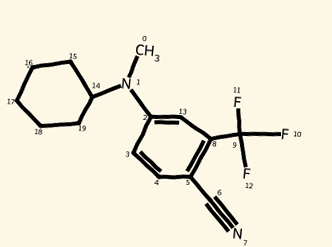 CN(c1ccc(C#N)c(C(F)(F)F)c1)C1C[CH]CCC1